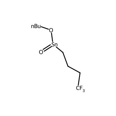 CCCC[O][Sn](=[O])[CH2]CCC(F)(F)F